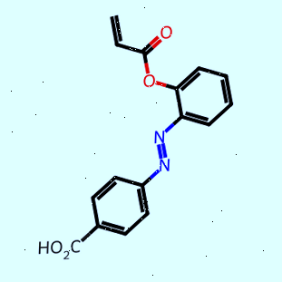 C=CC(=O)Oc1ccccc1N=Nc1ccc(C(=O)O)cc1